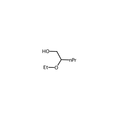 CCCC(CO)OCC